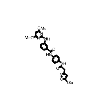 COc1cc(OC)nc(Nc2cccc(C(=O)Nc3ccc(NC(=O)Cc4cc(C(C)(C)C)on4)cc3)c2)n1